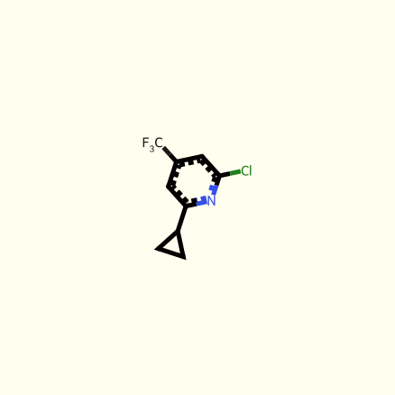 FC(F)(F)c1cc(Cl)nc(C2CC2)c1